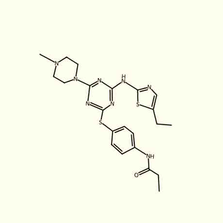 CCC(=O)Nc1ccc(Sc2nc(Nc3ncc(CC)s3)nc(N3CCN(C)CC3)n2)cc1